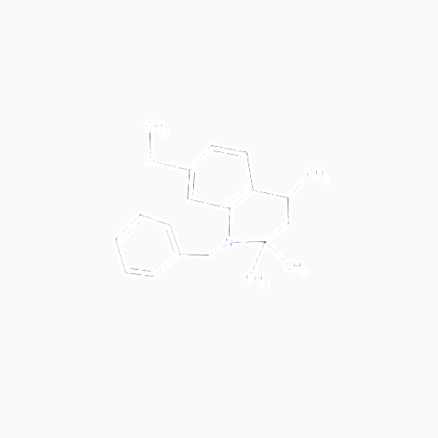 COc1ccc2c(c1)N(Cc1ccccc1)C(C)(C)CC2C